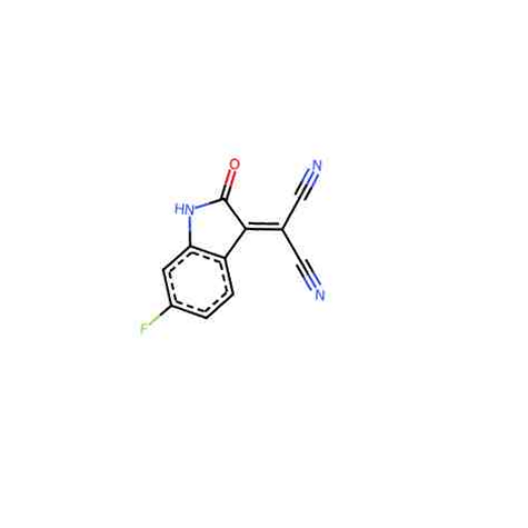 N#CC(C#N)=C1C(=O)Nc2cc(F)ccc21